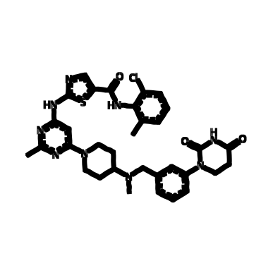 Cc1nc(Nc2ncc(C(=O)Nc3c(C)cccc3Cl)s2)cc(N2CCC(N(C)Cc3cccc(N4CCC(=O)NC4=O)c3)CC2)n1